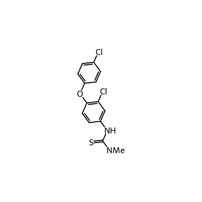 CNC(=S)Nc1ccc(Oc2ccc(Cl)cc2)c(Cl)c1